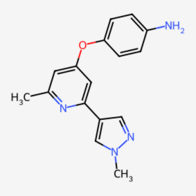 Cc1cc(Oc2ccc(N)cc2)cc(-c2cnn(C)c2)n1